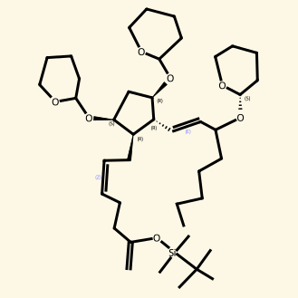 C=C(CC/C=C\C[C@@H]1[C@@H](/C=C/C(CCCCC)O[C@H]2CCCCO2)[C@H](OC2CCCCO2)C[C@@H]1OC1CCCCO1)O[Si](C)(C)C(C)(C)C